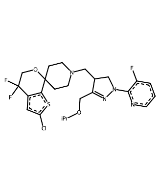 CC(C)OCC1=NN(c2ncccc2F)CC1CN1CCC2(CC1)OCC(F)(F)c1cc(Cl)sc12